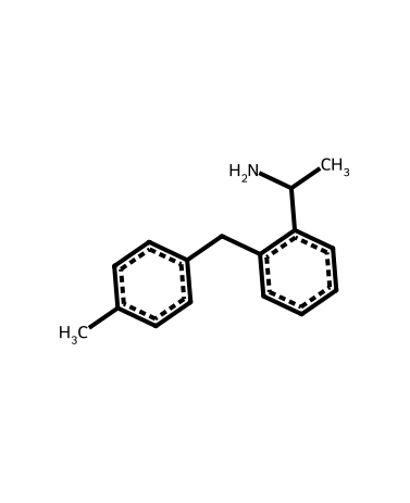 Cc1ccc(Cc2ccccc2C(C)N)cc1